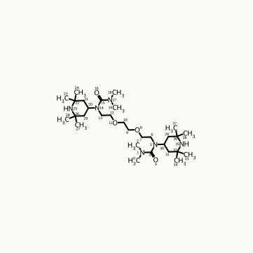 CN(C)C(=O)N(CCOCCOCCN(C(=O)N(C)C)C1CC(C)(C)NC(C)(C)C1)C1CC(C)(C)NC(C)(C)C1